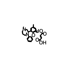 Cc1cc(C)c2c(c1)C1CN(C)CCCN1c1ccccc1O2.O=C(O)C=CC(=O)O